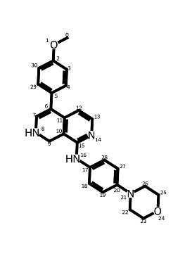 COc1ccc(C2=CNCc3c2ccnc3Nc2ccc(N3CCOCC3)cc2)cc1